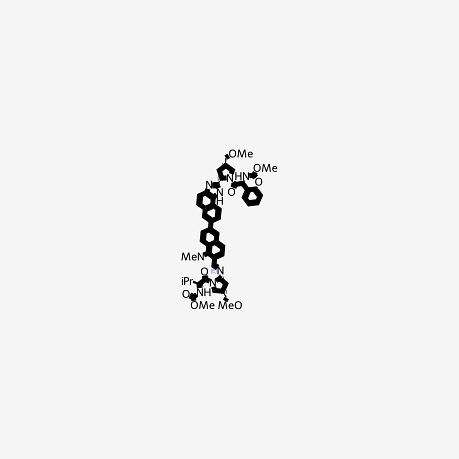 CNc1c(/C=N/[C@@H]2C[C@H](COC)CN2C(=O)[C@@H](NC(=O)OC)C(C)C)ccc2cc(-c3ccc4c(ccc5nc([C@@H]6C[C@H](COC)CN6C(=O)[C@H](NC(=O)OC)c6ccccc6)[nH]c54)c3)ccc12